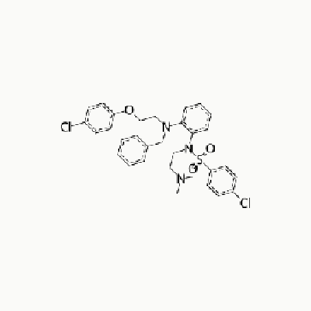 CN(C)CCN(c1ccccc1N(CCOc1ccc(Cl)cc1)Cc1ccccc1)S(=O)(=O)c1ccc(Cl)cc1